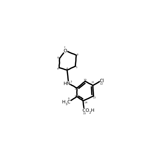 Cc1c(NC2CCOCC2)cc(Cl)cc1C(=O)O